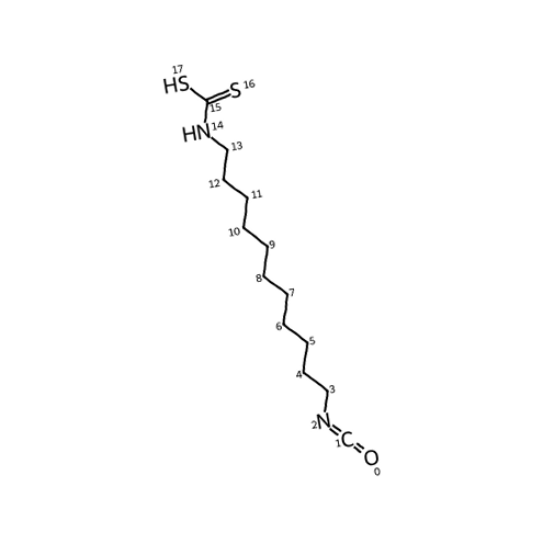 O=C=NCCCCCCCCCCCNC(=S)S